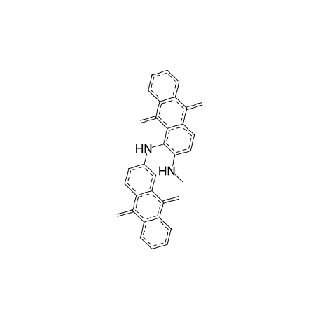 C=c1c2ccccc2c(=C)c2cc(Nc3c(NC)ccc4c(=C)c5ccccc5c(=C)c34)ccc12